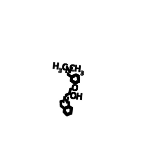 CN(C)Cc1cccc(OCC(O)CN2CCc3ccccc3C2)c1